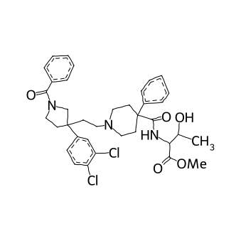 COC(=O)C(NC(=O)C1(c2ccccc2)CCN(CCC2(c3ccc(Cl)c(Cl)c3)CCN(C(=O)c3ccccc3)C2)CC1)C(C)O